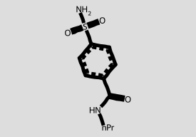 CCCNC(=O)c1ccc(S(N)(=O)=O)cc1